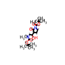 CN(CC(O)C1CCN(C(=O)OC(C)(C)C)C1=O)C(=O)OC(C)(C)C